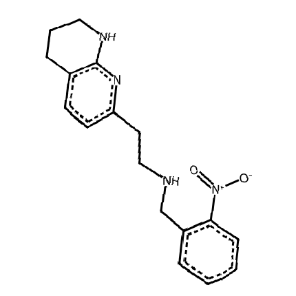 O=[N+]([O-])c1ccccc1CNCCc1ccc2c(n1)NCCC2